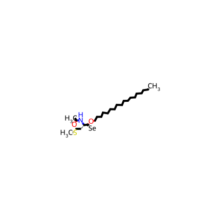 CCCCCCCCCCCCCCCCCCOC(=[Se])[C@H](CCSC)NC(C)=O